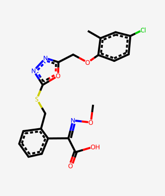 CON=C(C(=O)O)c1ccccc1CSc1nnc(COc2ccc(Cl)cc2C)o1